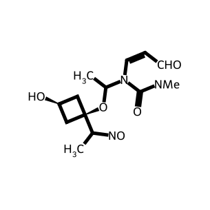 CNC(=O)N(/C=C\C=O)C(C)O[C@]1(C(C)N=O)C[C@H](O)C1